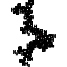 CC(=O)NC(C)(C)C(=O)NCC(=O)N[C@@H](Cc1ccccc1)C(=O)NC(C)(C)C(=O)NC(C)(C)C(=O)N[C@@H](CCC(N)=O)C(=O)NC(C)(C)C(=O)NC(C)(C)C(=O)NC(C)(C)C(=O)N[C@@H](CO)C(=O)N[C@@H](CC(C)C)C(=O)NC(C)(C)C(=O)N1CCC[C@H]1C(=O)N[C@H](C(=O)NC(C)(C)C(=O)NC(C)(C)C(=O)N[C@@H](CCC(N)=O)C(=O)N[C@@H](CCC(N)=O)C(=O)O)C(C)C